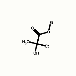 CCOC(=O)C(C)(O)CC